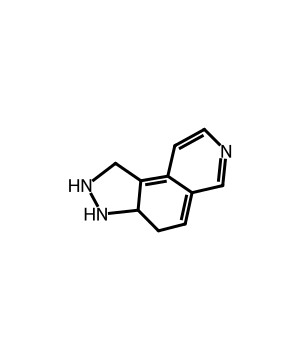 C1=c2cnccc2=C2CNNC2C1